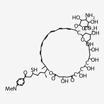 CNc1ccc(C(=O)CC(S)CC[C@H](C)C2OC(=O)C[C@H](O)CC(=O)C[C@H](O)C[C@H](O)C[C@H](O)C[C@H](O)C[C@]3(O)C[C@H](O)[C@@H](C(=O)O)C(C[C@@H](OC4OC(C)C(O)C(N)C4O)/C=C/C=C/C=C/C=C\C=C/C=C/C=C/C2C)O3)cc1